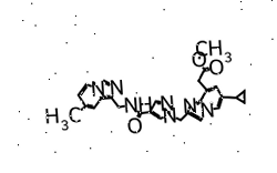 COC(=O)Cc1cc(C2CC2)cn2cc(Cn3cc(C(=O)NCc4ncn5ccc(C)cc45)cn3)nc12